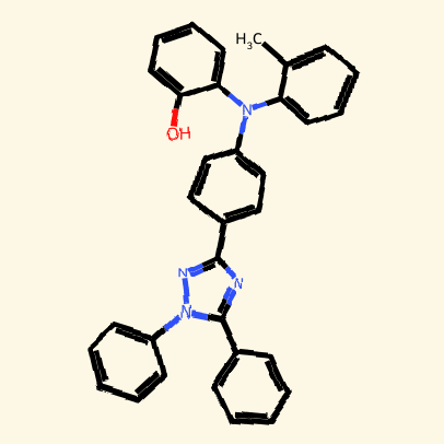 Cc1ccccc1N(c1ccc(-c2nc(-c3ccccc3)n(-c3ccccc3)n2)cc1)c1ccccc1O